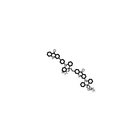 CCC1(CC)c2ccccc2N(c2ccc3c(=O)c4ccc(CCC5(CC)c6ccccc6N(c6ccc(-c7ccc8c(=O)c9ccccc9sc8c7)cc6)c6ccccc65)cc4sc3c2)c2ccccc21